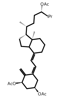 C=C1/C(=C\C=C2CCC[C@@]3(C)C2CC[C@@H]3[C@H](C)CC[C@H](OC(C)=O)C(C)C)C[C@@H](OC(C)=O)C[C@H]1OC(C)=O